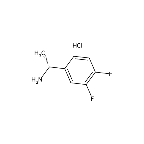 C[C@@H](N)c1ccc(F)c(F)c1.Cl